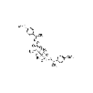 CCC(C)(C(F)(F)C(C)S(=O)(=O)O/N=C(/c1ccc(OC)cc1)C(F)(F)F)S(=O)(=O)O/N=C(/c1ccc(OC)cc1)C(F)(F)F